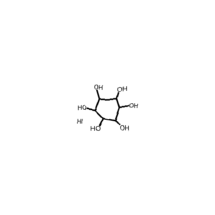 I.OC1C(O)C(O)C(O)C(O)C1O